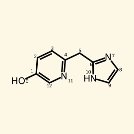 Oc1ccc(Cc2ncc[nH]2)nc1